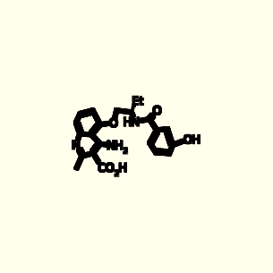 CC[C@@H](COc1cccc2nc(C)c(C(=O)O)c(N)c12)NC(=O)c1cccc(O)c1